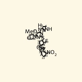 COc1c(Nc2cc[nH]n2)nc(Sc2ccc(S(=O)(=O)Cc3cccc([N+](=O)[O-])c3F)cc2F)nc1N1CCOCC1